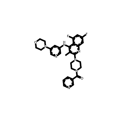 Cc1c(N2CCN(C(=O)c3cccnc3)CC2)nc2cc(F)cc(F)c2c1Nc1cncc(N2CCOCC2)c1